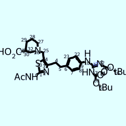 CC(=O)Nc1nc(CCc2ccc(N/C(=N/C(=O)OC(C)(C)C)NC(=O)OC(C)(C)C)cc2)c(CN2CCC[C@H](C(=O)O)C2)s1